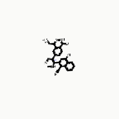 CN/C(=C(\C=N)c1ccc2c(=O)[nH]nc(CN)c2c1)c1cc(Cl)c2ccccc2c1C#N